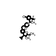 COC(=O)C(C)C(c1ccc2c(c1)OC1(CC2)CCN(C(C)c2cc(Cl)ccc2C(F)(F)F)CC1)C1CC1